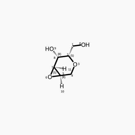 OC[C@@H]1OC[C@H]2O[C@H]2[C@@H]1O